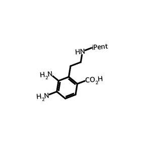 CCCC(C)NCCc1c(C(=O)O)ccc(N)c1N